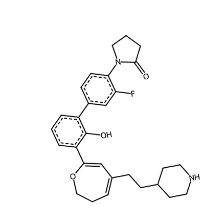 O=C1CCCN1c1ccc(-c2cccc(C3=CC(CCC4CCNCC4)=CCCO3)c2O)cc1F